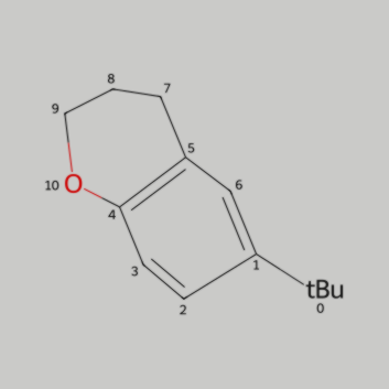 CC(C)(C)c1ccc2c(c1)CCCO2